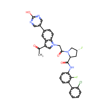 CC(=O)c1cn(CC(=O)N2C[C@H](F)CC2C(=O)Nc2cccc(-c3ccccc3Cl)c2F)c2ccc(-c3cnc(O)nc3)cc12